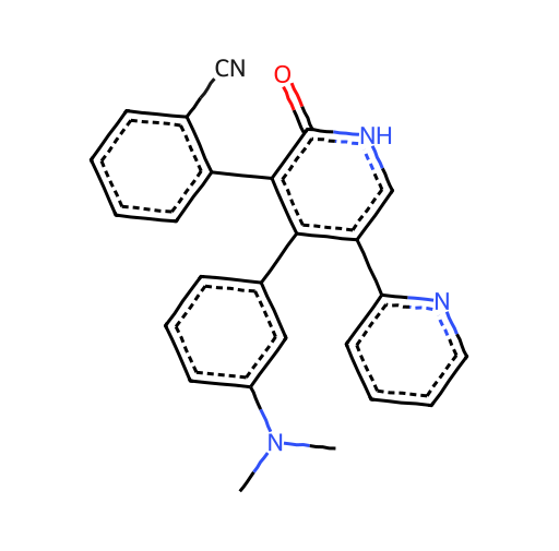 CN(C)c1cccc(-c2c(-c3ccccn3)c[nH]c(=O)c2-c2ccccc2C#N)c1